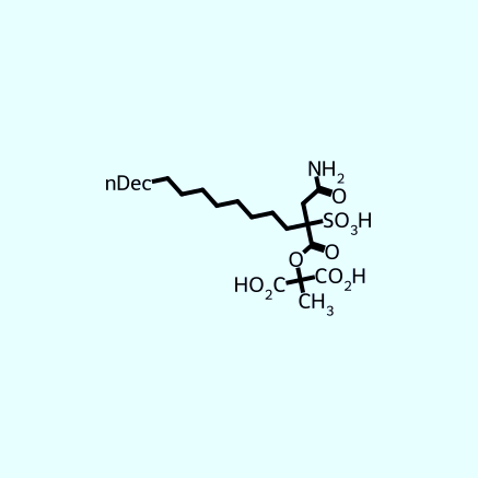 CCCCCCCCCCCCCCCCCCC(CC(N)=O)(C(=O)OC(C)(C(=O)O)C(=O)O)S(=O)(=O)O